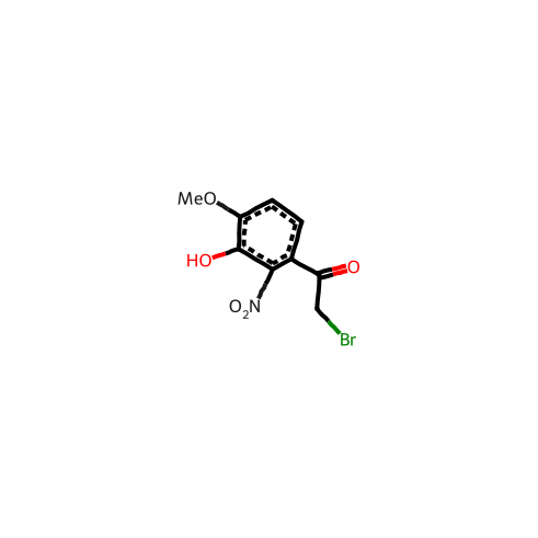 COc1ccc(C(=O)CBr)c([N+](=O)[O-])c1O